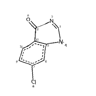 O=C1N=C[N]c2cc(Cl)ccc21